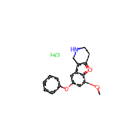 COc1cc(Oc2ccccc2)cc2c3c(oc12)CCNC3.Cl